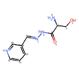 N[C@@H](CO)C(=O)N/N=C/c1cccnc1